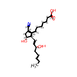 CCCCC[C@H](O)C=C[C@@H]1C(CCCCCCC(=O)O)=C(C#N)C[C@H]1O